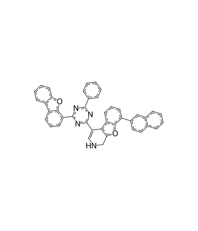 C1=C(c2nc(-c3ccccc3)nc(-c3cccc4c3oc3ccccc34)n2)c2c(oc3c(-c4ccc5ccccc5c4)cccc23)CN1